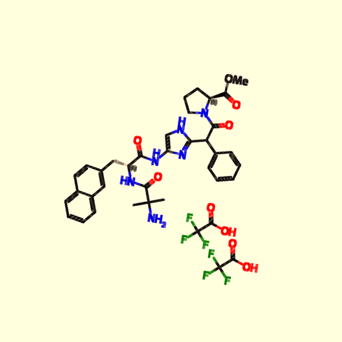 COC(=O)[C@@H]1CCCN1C(=O)C(c1ccccc1)c1nc(NC(=O)[C@@H](Cc2ccc3ccccc3c2)NC(=O)C(C)(C)N)c[nH]1.O=C(O)C(F)(F)F.O=C(O)C(F)(F)F